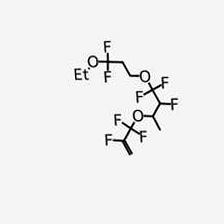 C=C(F)C(F)(F)OC(C)C(F)C(F)(F)OCCC(F)(F)OCC